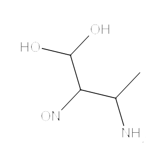 CC(N)C(N=O)C(O)O